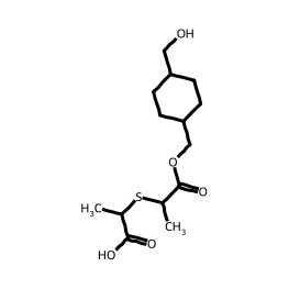 CC(SC(C)C(=O)OCC1CCC(CO)CC1)C(=O)O